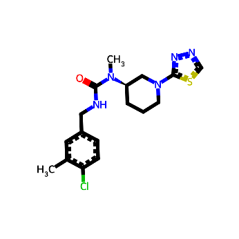 Cc1cc(CNC(=O)N(C)[C@@H]2CCCN(c3nncs3)C2)ccc1Cl